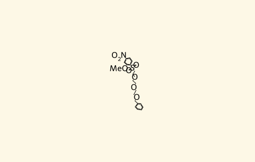 COc1cc([N+](=O)[O-])ccc1S(=O)(=O)CCOCCOCCOCc1ccccc1